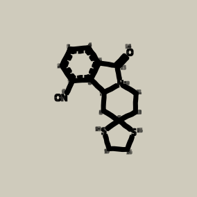 O=Nc1cccc2c1C1CC3(CCN1C2=O)SCCS3